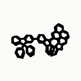 c1ccc([Si]2(c3ccccc3)c3ccccc3-c3ccc(-c4ccc5c(c4)c4ccccc4n5-c4cc5cccc6ccc7cc8oc9ccccc9c8c4c7c65)cc32)cc1